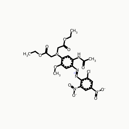 CCOC(=O)CN(CC(=O)OCC)c1cc(NC(C)=O)c(/N=N/c2c(Cl)cc([N+](=O)[O-])cc2[N+](=O)[O-])cc1OC